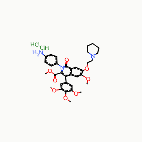 COC(=O)c1c(-c2cc(OC)c(OC)c(OC)c2)c2cc(OC)c(OCCN3CCCCC3)cc2c(=O)n1-c1ccc(N)cc1.Cl.Cl